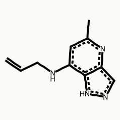 C=CCNc1cc(C)nc2cn[nH]c12